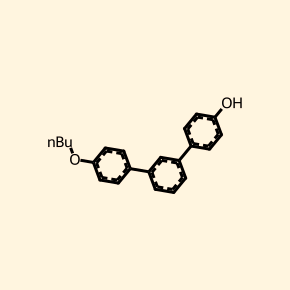 CCCCOc1ccc(-c2cccc(-c3ccc(O)cc3)c2)cc1